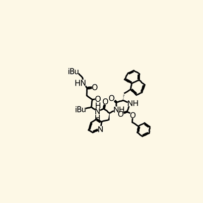 CCC(C)CNC(=O)CC(O)C(NC(=O)[C@H](Cc1ccccn1)NC(=O)[C@H](Cc1cccc2ccccc12)NC(=O)OCc1ccccc1)C(C)CC